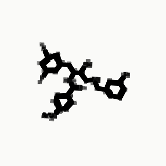 CCc1cccc(CNCC(O)C(Cc2cc(F)cc(F)c2)NC(=O)c2ccc(NC(C)=O)cc2)c1